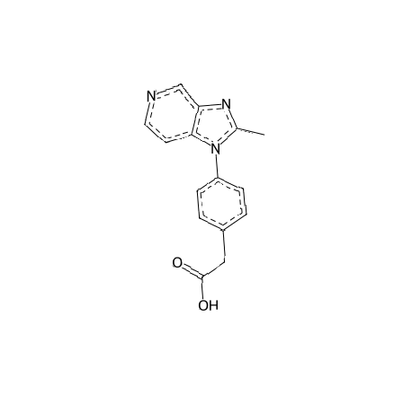 Cc1nc2cnccc2n1-c1ccc(CC(=O)O)cc1